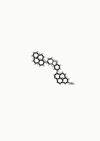 CC(C)(C)c1cc2ccc3ccc(-c4ccc5c(c4)C4C=C(c6ccc7ccc8cccc9ccc6c7c89)C=CC4O5)c4ccc(c1)c2c34